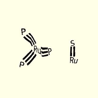 [P]#[Ru](#[P])#[P].[S]=[Ru]